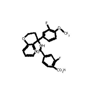 O=C(NC1(c2ccc(OC(F)(F)F)c(F)c2)CCOc2cccnc21)c1ccc(C(=O)O)c(F)c1